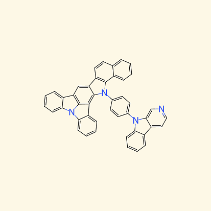 c1ccc2c(c1)ccc1c3cc4c5ccccc5n5c6ccccc6c(c3n(-c3ccc(-n6c7ccccc7c7ccncc76)cc3)c21)c45